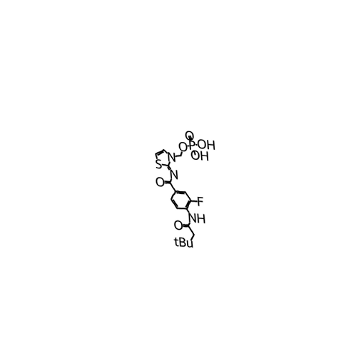 CC(C)(C)CC(=O)Nc1ccc(C(=O)/N=c2\sccn2COP(=O)(O)O)cc1F